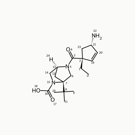 CC[C@]1(C(=O)N2C[C@@]3(C(C)(C)C)C[C@H]2CN3C(=O)O)C=C[C@@H](N)C1